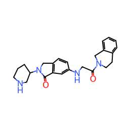 O=C(CNc1ccc2c(c1)C(=O)N(C1CCCNC1)C2)N1CCc2ccccc2C1